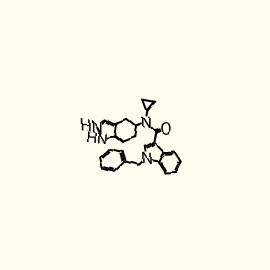 O=C(c1cn(Cc2ccccc2)c2ccccc12)N(C1CC1)C1CCC2NNC=C2C1